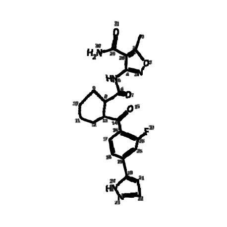 Cc1onc(NC(=O)C2CCCCC2C(=O)c2ccc(-c3ccn[nH]3)cc2F)c1C(N)=O